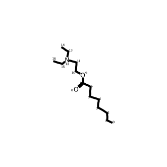 CCCCCCCC(=O)OCCN(CC)CC